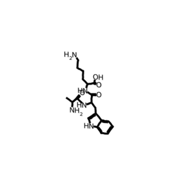 CC(N)C(=O)NC(Cc1c[nH]c2ccccc12)C(=O)NC(CCCCN)C(=O)O